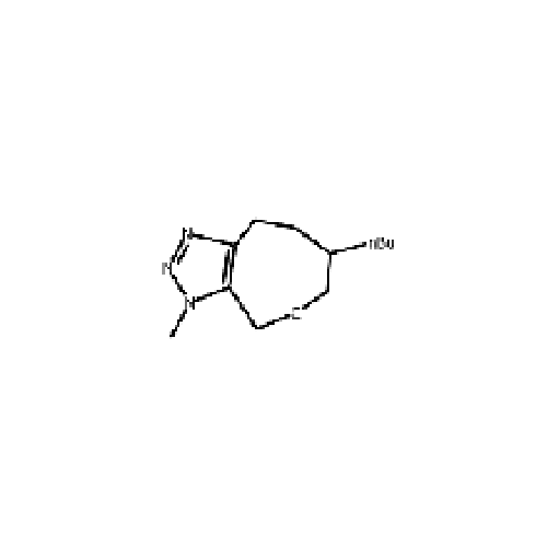 CCCCC1CCCc2c(nnn2C)CC1